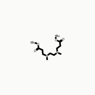 CN(CCC(=O)OC(C)(C)C)CCN(C)CCC(=O)OC(C)(C)C